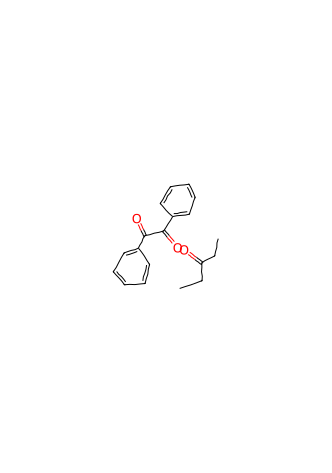 CCC(=O)CC.O=C(C(=O)c1ccccc1)c1ccccc1